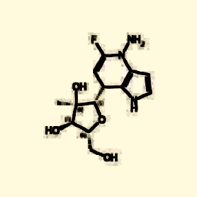 C[C@@]1(O)[C@H](O)[C@@H](CO)O[C@H]1C1C=C(F)N(N)c2cc[nH]c21